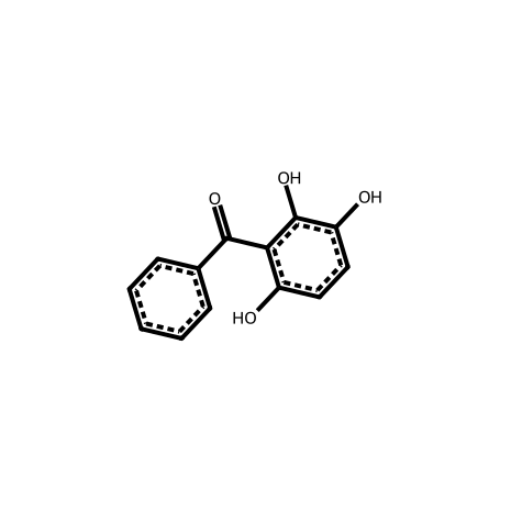 O=C(c1ccccc1)c1c(O)ccc(O)c1O